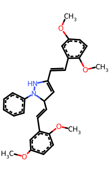 COc1ccc(OC)c(C=CC2=CC(C=Cc3cc(OC)ccc3OC)N(c3ccccc3)N2)c1